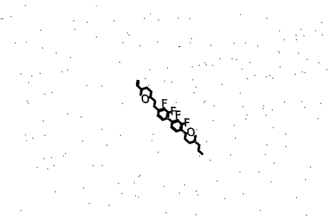 C=CC1CCC(CCc2ccc(-c3ccc(C4CCC(CCC)CO4)c(F)c3F)c(F)c2F)OC1